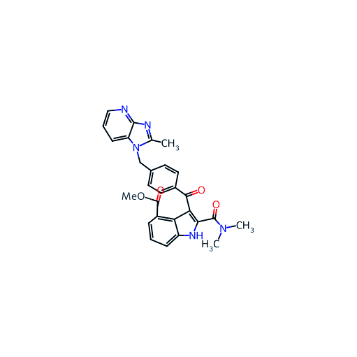 COC(=O)c1cccc2[nH]c(C(=O)N(C)C)c(C(=O)c3ccc(Cn4c(C)nc5ncccc54)cc3)c12